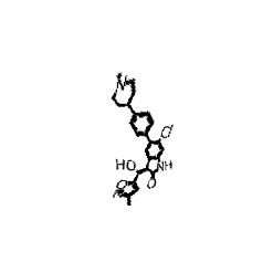 Cc1cc(C(O)=C2C(=O)Nc3cc(Cl)c(-c4ccc(C5CCN(C)CC5)cc4)cc32)on1